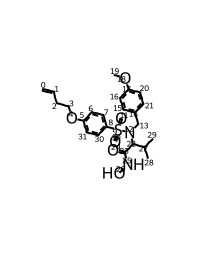 C=CCCOc1ccc(S(=O)(=O)N(Cc2ccc(OC)cc2)C(C(=O)NO)C(C)C)cc1